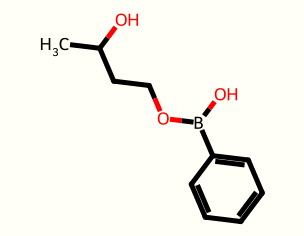 CC(O)CCOB(O)c1ccccc1